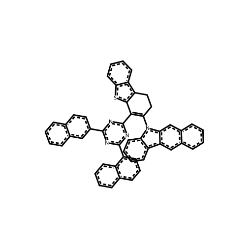 c1ccc2cc(-c3nc(C4=C(n5c6ccccc6c6cc7ccccc7cc65)CCc5c4sc4ccccc54)nc(-c4cccc5ccccc45)n3)ccc2c1